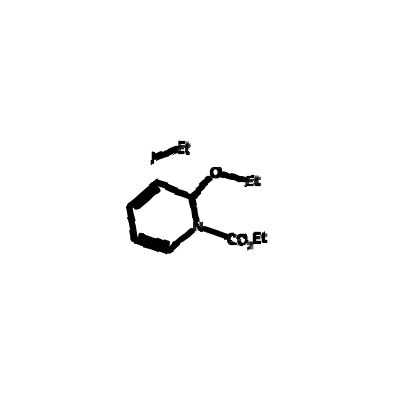 CCI.CCOC(=O)N1C=CC=CC1OCC